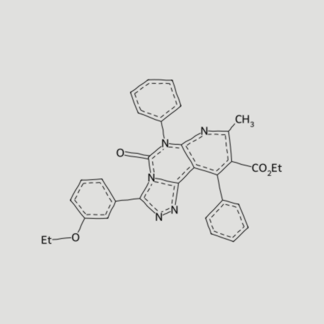 CCOC(=O)c1c(C)nc2c(c1-c1ccccc1)c1nnc(-c3cccc(OCC)c3)n1c(=O)n2-c1ccccc1